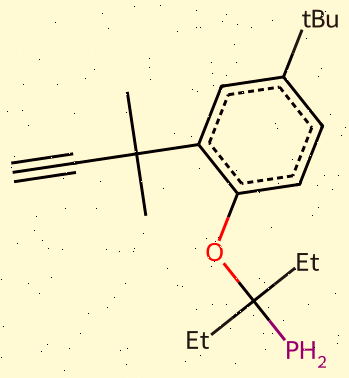 C#CC(C)(C)c1cc(C(C)(C)C)ccc1OC(P)(CC)CC